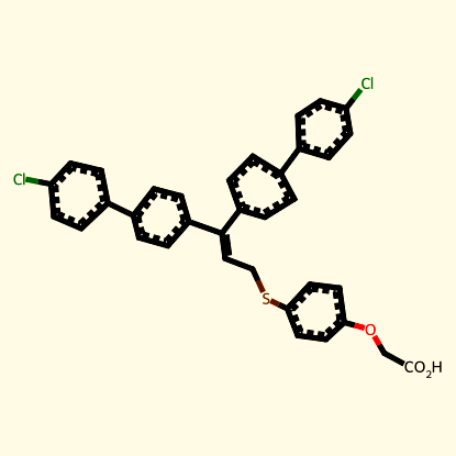 O=C(O)COc1ccc(SCC=C(c2ccc(-c3ccc(Cl)cc3)cc2)c2ccc(-c3ccc(Cl)cc3)cc2)cc1